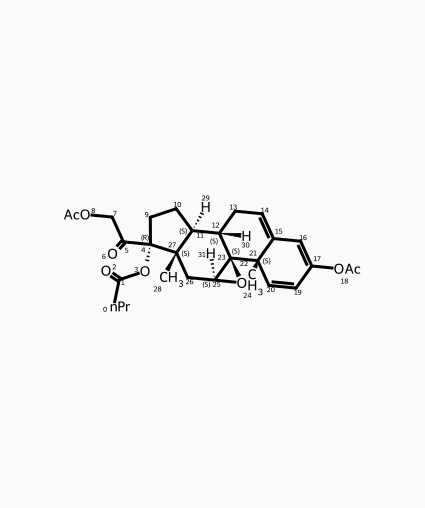 CCCC(=O)O[C@]1(C(=O)COC(C)=O)CC[C@H]2[C@@H]3CC=C4C=C(OC(C)=O)C=C[C@]4(C)[C@@]34O[C@H]4C[C@@]21C